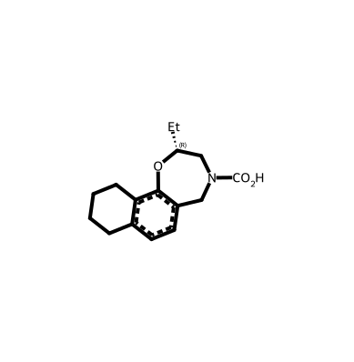 CC[C@@H]1CN(C(=O)O)Cc2ccc3c(c2O1)CCCC3